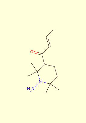 C/C=C/C(=O)C1CCC(C)(C)N(N)C1(C)C